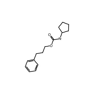 O=C([N]C1CCCC1)OCCCc1ccccc1